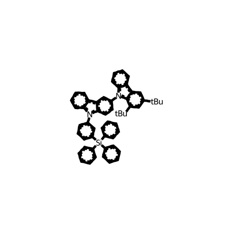 CC(C)(C)c1cc(C(C)(C)C)c2c(c1)c1ccccc1n2-c1ccc2c(c1)c1ccccc1n2-c1cccc([Si](c2ccccc2)(c2ccccc2)c2ccccc2)c1